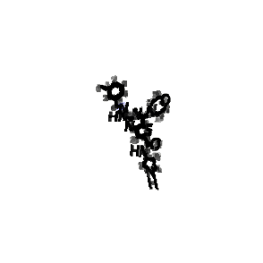 Cc1cccc(/C=N/Nc2nc(N3CCOCC3)c3sc(C(=O)NC4CCNC4)cc3n2)c1